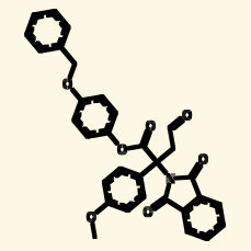 COc1ccc(C(CC=O)(C(=O)Oc2ccc(OCc3ccccc3)cc2)N2C(=O)c3ccccc3C2=O)cc1